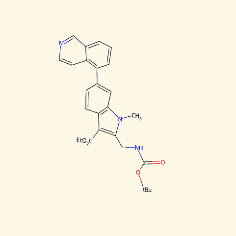 CCOC(=O)c1c(CNC(=O)OC(C)(C)C)n(C)c2cc(-c3cccc4cnccc34)ccc12